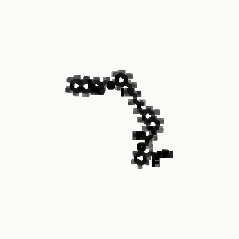 CCCCNCc1ccccc1OCC(O)CN1CCc2ccc(CCCCNCc3cccc(OCC(O)CN4CCc5ccccc5C4)c3)cc2C1